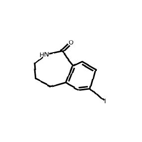 O=C1NCCCc2cc(I)ccc21